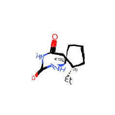 CC[C@H]1CCC[C@]12NC(=O)NC2=O